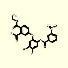 CCOC(=O)c1ccc(Oc2cc(Br)c(F)cc2NC(=O)c2cccc([N+](=O)[O-])c2)cc1C(=O)O